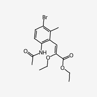 CCOC(=O)C(=Cc1c(NC(C)=O)ccc(Br)c1C)OCC